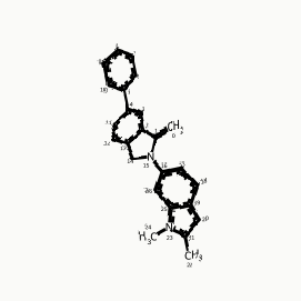 C=C1c2cc(-c3ccccc3)ccc2CN1c1ccc2cc(C)n(C)c2c1